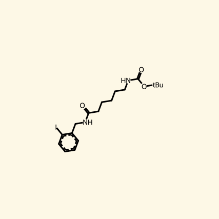 CC(C)(C)OC(=O)NCCCCCC(=O)NCc1ccccc1I